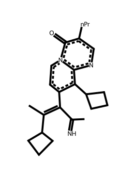 CCCc1cnc2c(C3CCC3)c(/C(C(C)=N)=C(\C)C3CCC3)ccn2c1=O